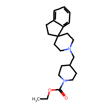 CCOC(=O)N1CCC(CN2CCC3(CCc4ccccc43)CC2)CC1